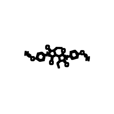 CCC1C(=O)N(c2ccc(OC#N)cc2)C(=O)C1C1C(=O)N(c2ccc(OC#N)cc2)C(=O)C1CC